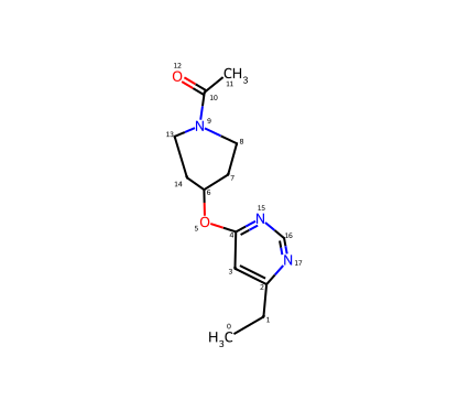 CCc1cc(OC2CCN(C(C)=O)CC2)ncn1